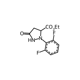 CCOC(=O)C1CC(=O)NN1c1c(F)cccc1F